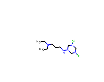 CCN(CC)CCCNN1CN(Cl)CN(Cl)C1